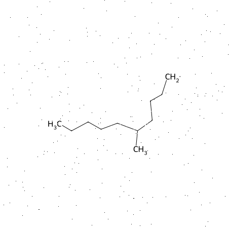 [CH2]CCCC(C)CCCCC